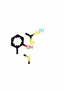 CC(S)S.CSC.Cc1ccccc1O.F